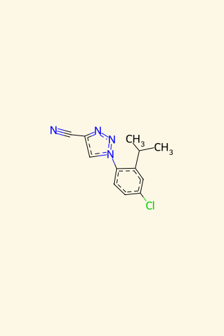 CC(C)c1cc(Cl)ccc1-n1cc(C#N)nn1